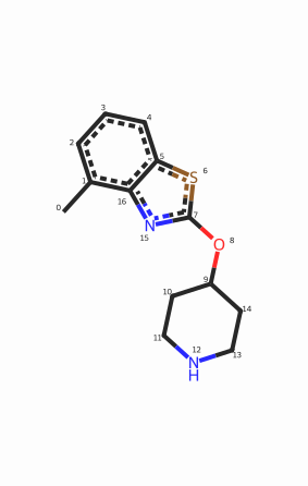 Cc1cccc2sc(OC3CCNCC3)nc12